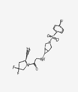 N#C[C@@H]1CC(F)(F)CN1C(=O)CNC1C2CN(S(=O)(=O)c3ccc(F)cc3)CC21